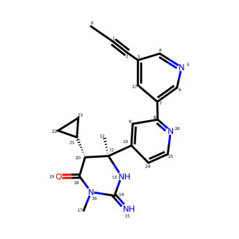 CC#Cc1cncc(-c2cc([C@@]3(C)NC(=N)N(C)C(=O)[C@@H]3C3CC3)ccn2)c1